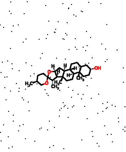 C[C@H]1CC[C@@]2(OC1)O[C@H]1C[C@H]3[C@@H]4CCC5C[C@H](O)CC[C@]5(C)[C@H]4CC[C@]3(C)[C@H]1[C@@H]2C